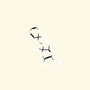 CC1=NC(C)=C(C)SC1(C)SSC1(C)C=NC=CS1